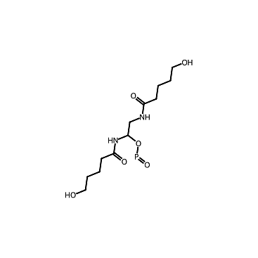 O=POC(CNC(=O)CCCCO)NC(=O)CCCCO